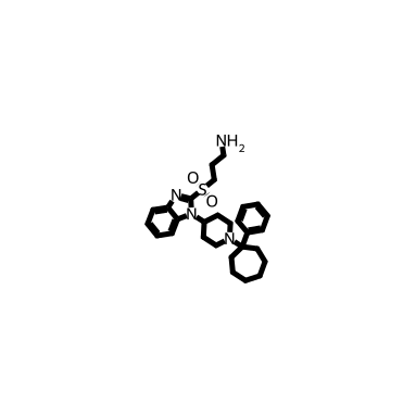 NCCCS(=O)(=O)c1nc2ccccc2n1C1CCN(C2(c3ccccc3)CCCCCC2)CC1